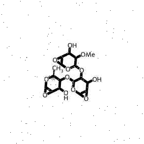 COC1C(OC2C(OC3C(O)C4OC4O[C@H]3C)OC3OC3C2O)OC2OC2C1O